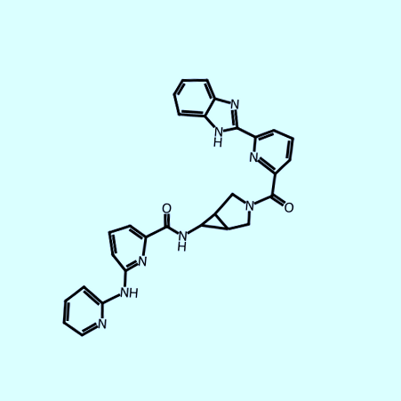 O=C(NC1C2CN(C(=O)c3cccc(-c4nc5ccccc5[nH]4)n3)CC21)c1cccc(Nc2ccccn2)n1